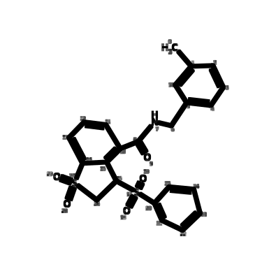 Cc1cccc(CNC(=O)c2cccc3c2C(S(=O)(=O)c2ccccc2)CS3(=O)=O)c1